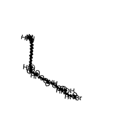 O=C(CBr)NCCCCC(NC(=O)COCCOCCNC(=O)COCCOCCNC(=O)CCCS(=O)(=O)NC(=O)CCCCCCCCCCCCCCCCc1nnn[nH]1)C(=O)O